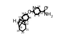 CC1(c2ccc(Oc3ccc(C(N)=O)cn3)cc2)C2CCCC1CCC2